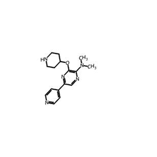 CN(C)c1ncc(-c2ccncc2)nc1OC1CCNCC1